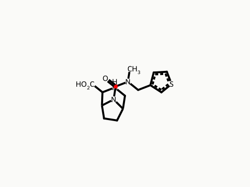 CN(Cc1ccsc1)C(=O)N1C2CCC1C(C(=O)O)NC2